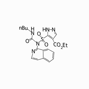 CCCCNC(=O)N(c1nccc2ccccc12)S(=O)(=O)c1[nH]ncc1C(=O)OCC